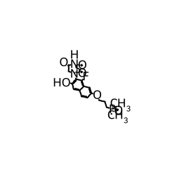 CP(C)(=O)CCCOc1ccc2cc(O)c(N3CC(=O)NS3(=O)=O)c(F)c2c1